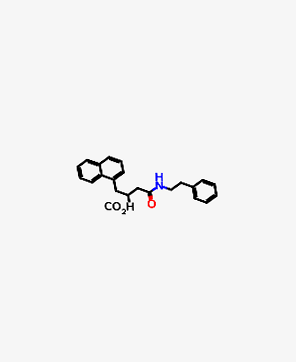 O=C(CC(Cc1cccc2ccccc12)C(=O)O)NCCc1ccccc1